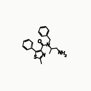 Cc1nc(C(=O)N(Cc2ccccc2)C(C)CN)c(-c2ccccc2)s1